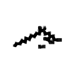 CCCCCCCCCCCC(=O)N(C)CCN(CCO)C(=O)O.[NaH]